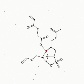 C=CC(=O)OCC(=O)OC1C2(COC(C)=O)CC3C4(C2)C(OS3(=O)=O)C14COC=O